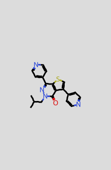 CC(C)Cn1nc(-c2ccncc2)c2scc(-c3ccncc3)c2c1=O